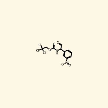 O=[C]C(NC(=O)OCC(Cl)(Cl)Cl)c1cccc([N+](=O)[O-])c1